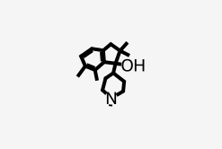 Cc1ccc2c(c1C)C(O)(C1CCN(C)CC1)C(C)(C)C2